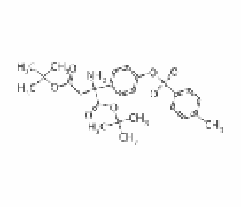 Cc1ccc(S(=O)(=O)Oc2ccc(C(N)(CC(=O)OC(C)(C)C)C(=O)OC(C)(C)C)cc2)cc1